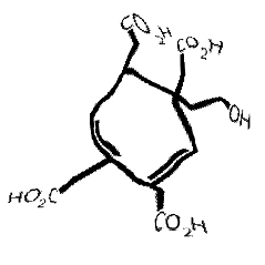 O=C(O)C1=CC(C(=O)O)C(O)(C(=O)O)C=C1C(=O)O